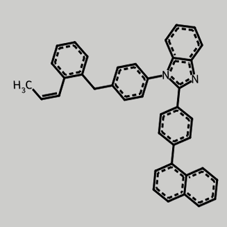 C/C=C\c1ccccc1Cc1ccc(-n2c(-c3ccc(-c4cccc5ccccc45)cc3)nc3ccccc32)cc1